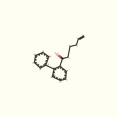 C=CCCCC(=O)c1ccccc1-c1ccccc1